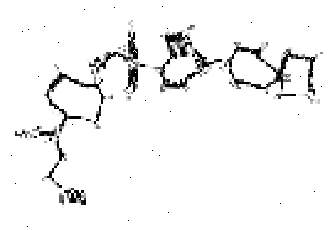 CN(CCC(C)(C)C)[C@H]1CC[C@H](NS(=O)(=O)c2ccc(N3CCC4(CCOC4)CC3)nc2)CC1